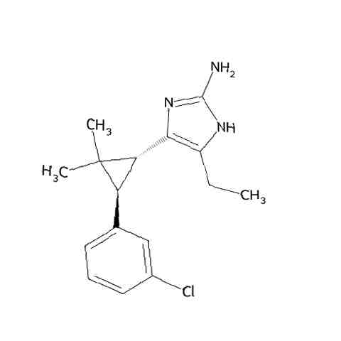 CCc1[nH]c(N)nc1[C@@H]1[C@@H](c2cccc(Cl)c2)C1(C)C